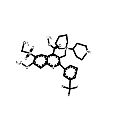 CCS(=O)(=O)c1cc2c(C(=O)OC)c(C[N+]3(C4CCNCC4)CCCCC3)c(-c3cccc(C(F)(F)F)c3)nc2cc1OC